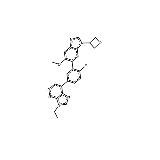 CCn1cnc2c(-c3ccc(F)c(-c4cc5c(cc4OC)ncn5C4COC4)c3)cnnc21